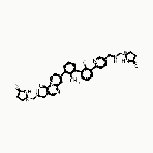 Cc1c(-c2ccn3c(=O)c(CNC[C@@H]4CCC(=O)N4)cnc3c2)cccc1-c1cccc(-c2ccc(CNC[C@H]3CCC(=O)N3)cn2)c1Cl